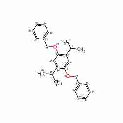 CC(C)c1cc(OCc2ccccc2)c(C(C)C)cc1OCc1ccccc1